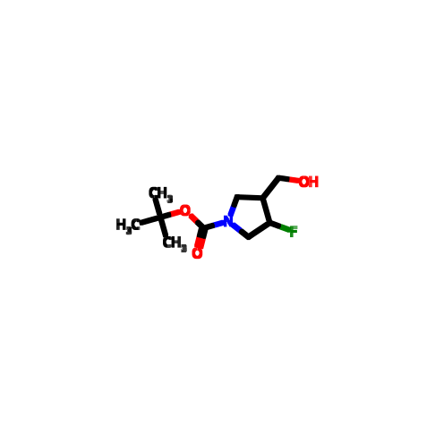 CC(C)(C)OC(=O)N1CC(F)C(CO)C1